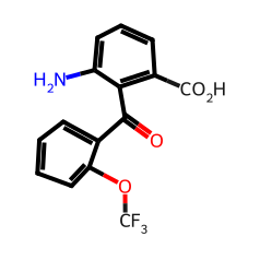 Nc1cccc(C(=O)O)c1C(=O)c1ccccc1OC(F)(F)F